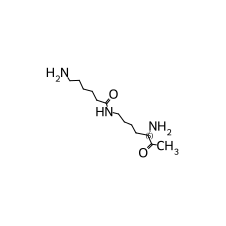 CC(=O)[C@@H](N)CCCCNC(=O)CCCCCN